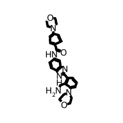 NCc1c(-c2nc3cc(NC(=O)c4ccc(N5CCOCC5)cc4)ccc3[nH]2)cccc1N1CCOCC1